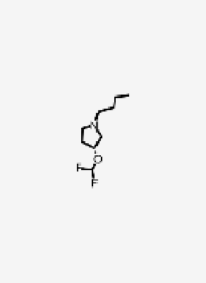 CCCCN1CC[C@@H](OC(F)F)C1